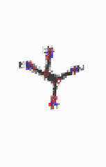 CCON=NOCCCCCCCOc1cc2cc3cc(OCCCCCCCON=NOCC)c(OCCCCCCCON=NOCC)cc3cc2cc1OCCCCCCCON=NOCC